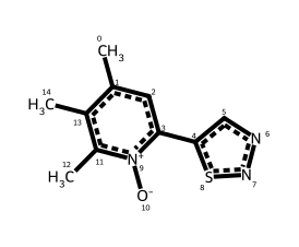 Cc1cc(-c2cnns2)[n+]([O-])c(C)c1C